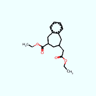 CCOC(=O)CC1Cc2ccccc2CC(C(=O)OCC)C1